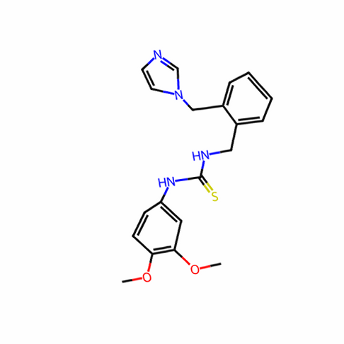 COc1ccc(NC(=S)NCc2ccccc2Cn2ccnc2)cc1OC